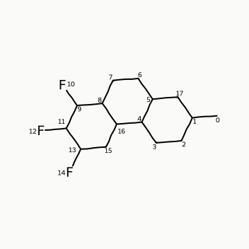 CC1CCC2C(CCC3C(F)C(F)C(F)CC23)C1